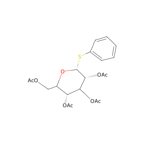 CC(=O)OCC1O[C@H](Sc2ccccc2)[C@H](OC(C)=O)C(OC(C)=O)[C@@H]1OC(C)=O